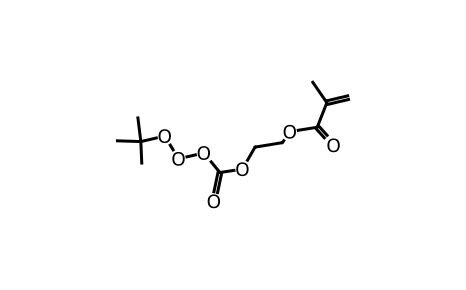 C=C(C)C(=O)OCCOC(=O)OOOC(C)(C)C